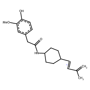 C=C(C)/C=C/C1CCC(NC(=O)Cc2ccc(O)c(OC)c2)CC1